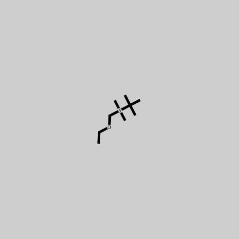 CCOCS(C)(C)C(C)(C)C